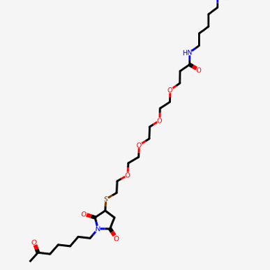 CC(=O)CCCCCN1C(=O)CC(SCCOCCOCCOCCOCCC(=O)NCCCCCN)C1=O